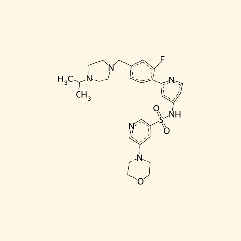 CC(C)N1CCN(Cc2ccc(-c3cc(NS(=O)(=O)c4cncc(N5CCOCC5)c4)ccn3)c(F)c2)CC1